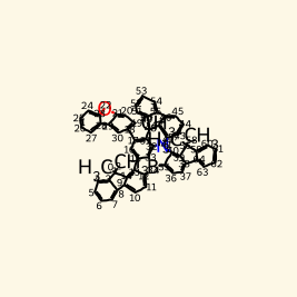 CC1(C)c2ccccc2-c2ccc3c(c21)-c1cc(-c2ccc4oc5ccccc5c4c2)c2c4c1B3c1ccc3c(c1N4c1cccc4c1C2(C)c1ccccc1-4)C(C)(C)c1ccccc1-3